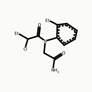 CCc1ccccc1N(CC(N)=O)C(=O)C(Cl)CC